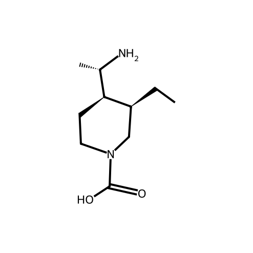 CC[C@H]1CN(C(=O)O)CC[C@H]1[C@H](C)N